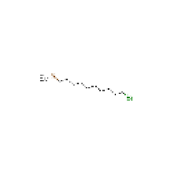 CCSCCCCCCCCCCBr